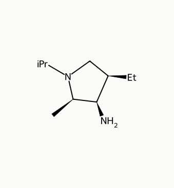 CC[C@@H]1CN(C(C)C)[C@H](C)[C@@H]1N